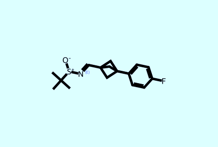 CC(C)(C)[S+]([O-])/N=C/C12CC(c3ccc(F)cc3)(C1)C2